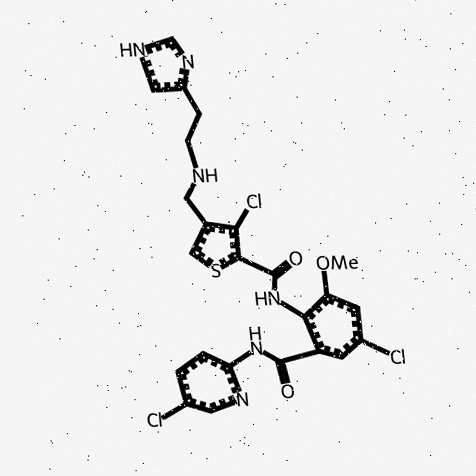 COc1cc(Cl)cc(C(=O)Nc2ccc(Cl)cn2)c1NC(=O)c1scc(CNCCc2c[nH]cn2)c1Cl